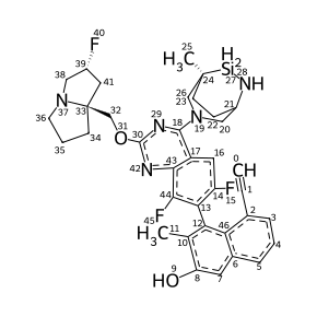 C#Cc1cccc2cc(O)c(C)c(-c3c(F)cc4c(N5CC6CC[C@@](C)(C5)[SiH2]N6)nc(OC[C@@]56CCCN5C[C@H](F)C6)nc4c3F)c12